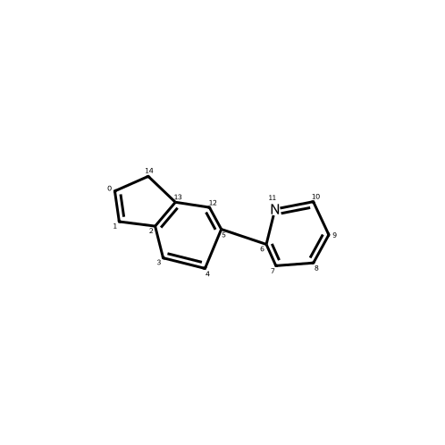 C1=Cc2ccc(-c3ccccn3)cc2C1